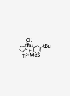 CSC1(C(C)(C)C2=[C]([Ti+2])CC=C2)CC=C(C(C)(C)C)C=C1C(C)(C)C.[Cl-].[Cl-]